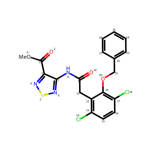 COC(=O)c1nsnc1NC(=O)Cc1c(Cl)ccc(Cl)c1OCc1ccccc1